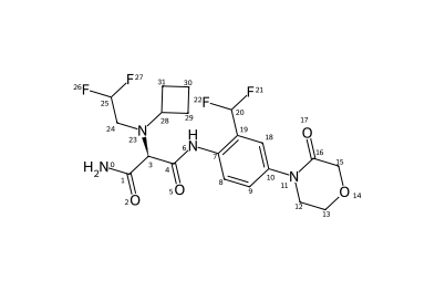 NC(=O)[C@H](C(=O)Nc1ccc(N2CCOCC2=O)cc1C(F)F)N(CC(F)F)C1CCC1